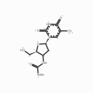 CNC(=O)NC1C[C@H](n2cc(C)c(=O)[nH]c2=O)O[C@@H]1CO